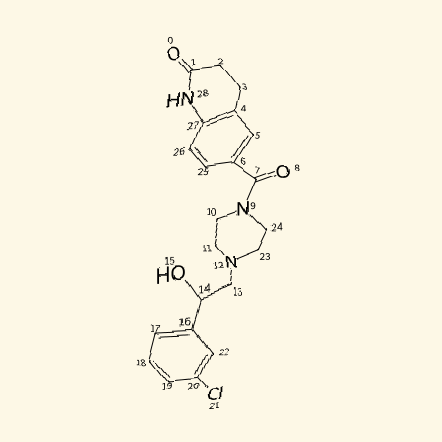 O=C1CCc2cc(C(=O)N3CCN(CC(O)c4cccc(Cl)c4)CC3)ccc2N1